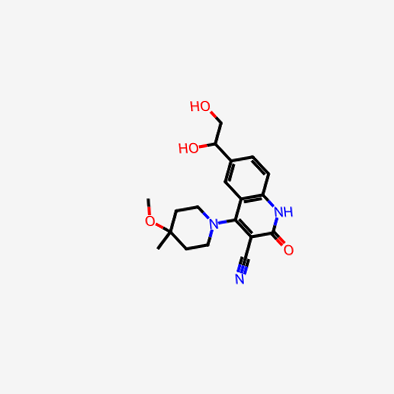 COC1(C)CCN(c2c(C#N)c(=O)[nH]c3ccc(C(O)CO)cc23)CC1